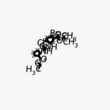 CCOC(=O)C1=C(NC(=O)Nc2cc(C(=O)OC(C)C)c(Br)cc2Cl)CCC1